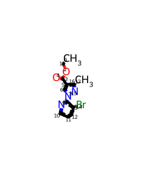 CCOC(=O)c1cn(-c2ncccc2Br)nc1C